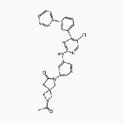 CC(=O)N1CC2(CC(=O)N(c3cncc(Nc4ncc(Cl)c(-c5cccc(-c6ccccc6)c5)n4)c3)C2)C1